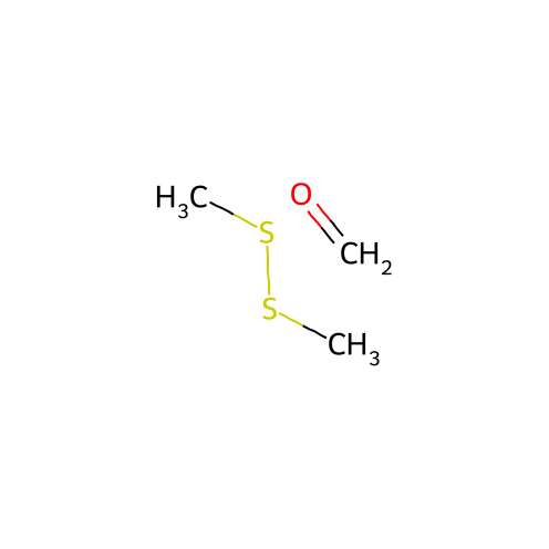 C=O.CSSC